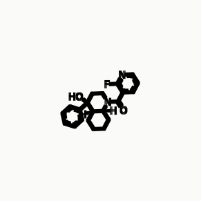 O=C(c1cccnc1F)N1CCC(O)(c2ccccc2)[C@H]2CCCC[C@H]21